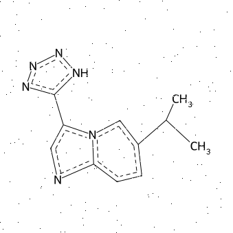 CC(C)c1ccc2ncc(-c3nnn[nH]3)n2c1